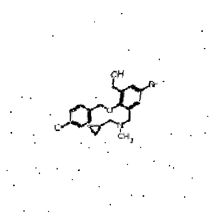 CN(Cc1cc(Br)cc(CO)c1OCc1ccc(Cl)cc1)CC1CC1